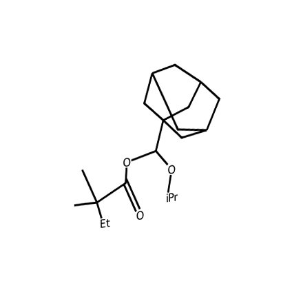 CCC(C)(C)C(=O)OC(OC(C)C)C12CC3CC(CC(C3)C1)C2